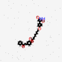 O=C1C=C(c2ccc(OCCCCCCCCC(=O)Oc3ccc(C=CC(=O)c4ccccc4)cc3)cc2)C(=O)N1